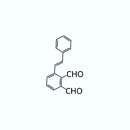 O=Cc1cccc(C=Cc2ccccc2)c1C=O